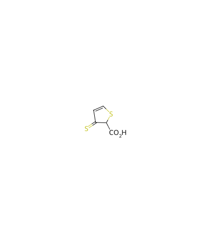 O=C(O)C1SC=CC1=S